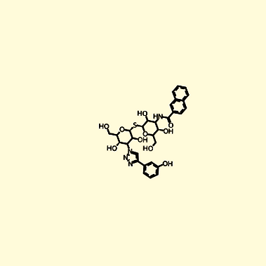 O=C(NC1C(O)[C@H](S[C@@H]2OC(CO)[C@H](O)C(n3cc(-c4cccc(O)c4)nn3)C2O)OC(CO)[C@@H]1O)c1ccc2ccccc2c1